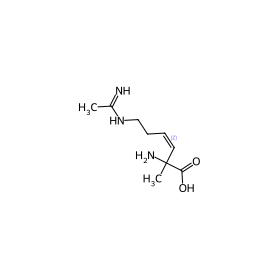 CC(=N)NCC/C=C\C(C)(N)C(=O)O